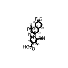 Cc1c(C(=O)O)cc2nc(C(C)(F)F)c(CC3CCC(F)(F)CC3)n2c1C#N